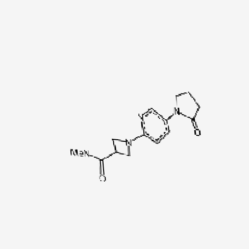 CNC(=O)C1CN(c2ccc(N3CCCC3=O)cn2)C1